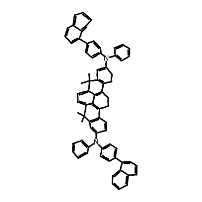 CC1(C)C2=C(CCC(N(c3ccccc3)c3ccc(-c4cccc5ccccc45)cc3)=C2)C2=c3c1ccc1c3=C(CC2)c2ccc(N(c3ccccc3)c3ccc(-c4cccc5ccccc45)cc3)cc2C1(C)C